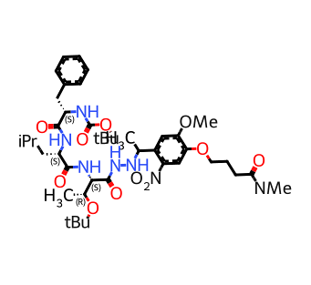 CNC(=O)CCCOc1cc([N+](=O)[O-])c(C(C)NNC(=O)[C@@H](NC(=O)[C@H](CC(C)C)NC(=O)[C@H](Cc2ccccc2)NC(=O)OC(C)(C)C)[C@@H](C)OC(C)(C)C)cc1OC